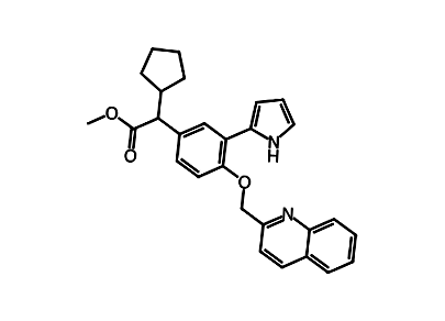 COC(=O)C(c1ccc(OCc2ccc3ccccc3n2)c(-c2ccc[nH]2)c1)C1CCCC1